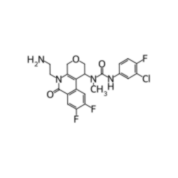 CN(C(=O)Nc1ccc(F)c(Cl)c1)C1COCc2c1c1cc(F)c(F)cc1c(=O)n2CCN